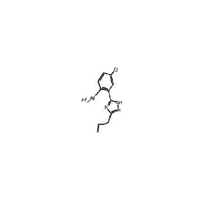 CCCc1n[nH]c(-c2cc(Cl)ccc2N)n1